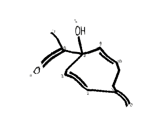 C=C1C=CC(O)(C(C)=O)C=C1